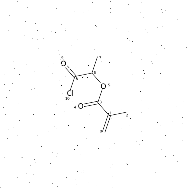 C=C(C)C(=O)OC(C)C(=O)Cl